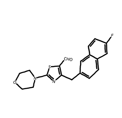 O=Cc1sc(N2CCOCC2)nc1Cc1ccc2cc(F)ccc2c1